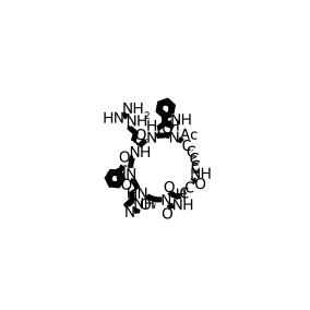 CC(=O)[C@@H]1CCCCNC(=O)CC[C@@H]2NC(=O)N(C2=O)[C@H](C)C(=O)N[C@@H](Cc2cnc[nH]2)C(=O)N[C@H](Cc2ccccc2)C(=O)N[C@@H](CCCNC(=N)N)C(=O)N[C@@H](Cc2c[nH]c3ccccc23)C(=O)N1